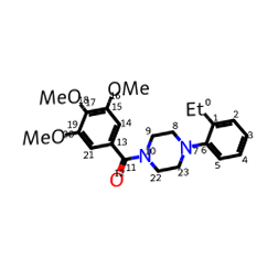 CCc1ccccc1N1CCN(C(=O)c2cc(OC)c(OC)c(OC)c2)CC1